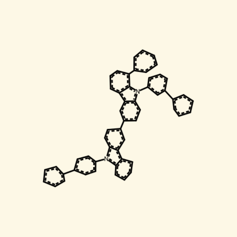 c1ccc(-c2ccc(-n3c4ccccc4c4cc(-c5ccc6c(c5)c5cccc(-c7ccccc7)c5n6-c5cccc(-c6ccccc6)c5)ccc43)cc2)cc1